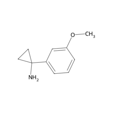 COc1cccc(C2(N)CC2)c1